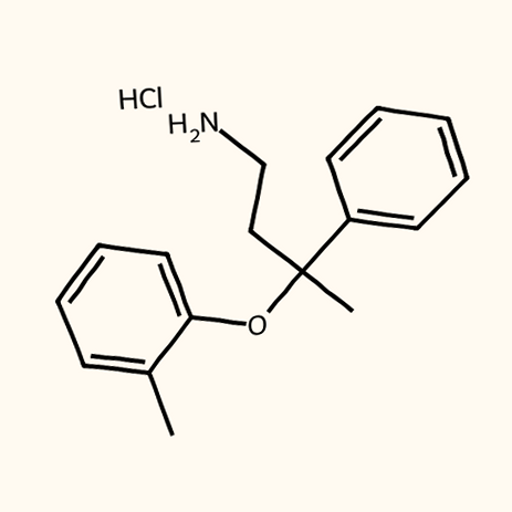 Cc1ccccc1OC(C)(CCN)c1ccccc1.Cl